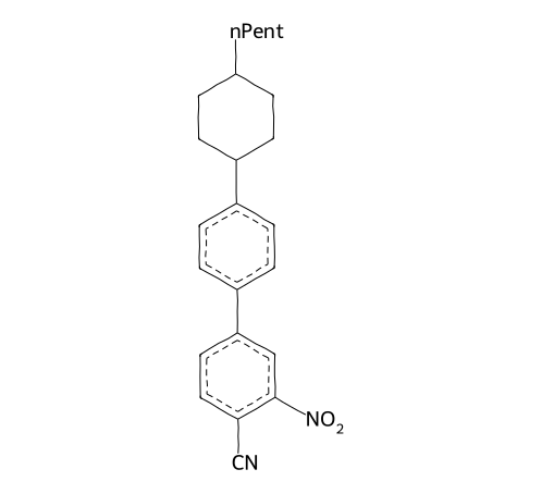 CCCCCC1CCC(c2ccc(-c3ccc(C#N)c([N+](=O)[O-])c3)cc2)CC1